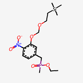 CCOP(C)(=O)Cc1ccc([N+](=O)[O-])c(OCOCC[Si](C)(C)C)c1